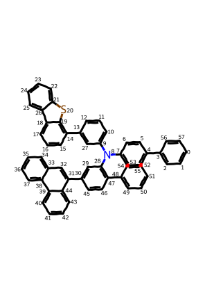 c1ccc(-c2ccc(N(c3cccc(-c4cccc5c4sc4ccccc45)c3)c3cc(-c4cc5ccccc5c5ccccc45)ccc3-c3ccccc3)cc2)cc1